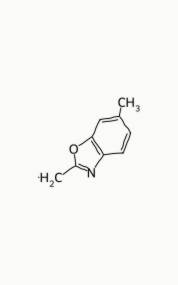 [CH2]c1nc2ccc(C)cc2o1